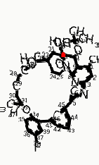 Cc1cc2nc3cn2c(c1[C@H](OC(C)(C)C)C(=O)O)N1CCC(C)(CC1)OCCCC[C@H](C)Oc1ccc(F)cc1-c1cccc-3c1